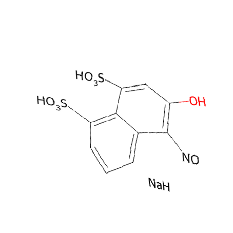 O=Nc1c(O)cc(S(=O)(=O)O)c2c(S(=O)(=O)O)cccc12.[NaH]